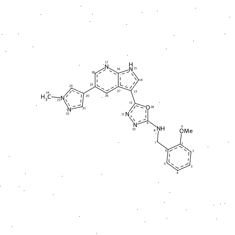 COc1ccccc1CNc1nnc(-c2c[nH]c3ncc(-c4cnn(C)c4)cc23)o1